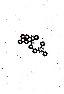 c1ccc(-c2nc(-c3ccccc3)nc(-c3cccc(-c4cccc(-c5sc6c(c(-c7ccccc7)nc7ccccc76)c5-c5ccc6c7ccccc7c7ccccc7c6c5)c4)c3)n2)cc1